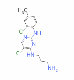 Cc1ccc(Nc2ncc(Cl)c(NCCCN)n2)c(Cl)c1